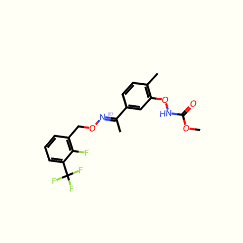 COC(=O)NOc1cc(/C(C)=N/OCc2cccc(C(F)(F)F)c2F)ccc1C